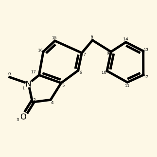 CN1C(=O)Cc2cc(Cc3ccccc3)ccc21